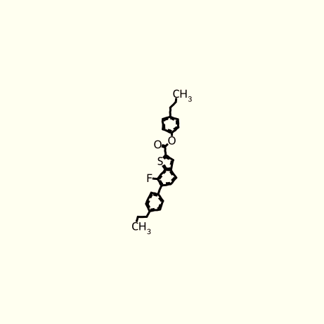 CCCc1ccc(OC(=O)c2cc3ccc(-c4ccc(CCC)cc4)c(F)c3s2)cc1